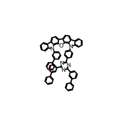 c1ccc(-c2cccc(-c3nc(-c4ccc(-n5c6ccccc6c6ccc7c8ccc9c%10ccccc%10n(-c%10cccc(-c%11ccccc%11)c%10)c9c8oc7c65)cc4)nc(-c4cccc(-c5ccccc5)c4)n3)c2)cc1